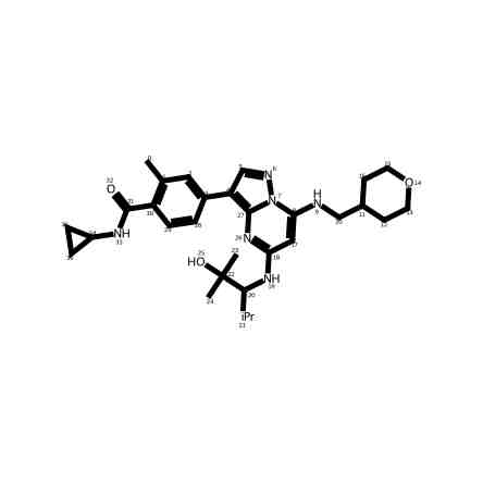 Cc1cc(-c2cnn3c(NCC4CCOCC4)cc(NC(C(C)C)C(C)(C)O)nc23)ccc1C(=O)NC1CC1